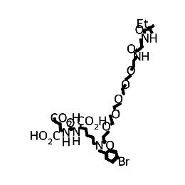 CCC(C)(C)C(=O)NCCC(=O)NCCOCCOCCOCCOCCOCCC(=O)N(CCCC[C@@H](NC(=O)N[C@@H](CCC(=O)O)C(=O)O)C(=O)O)Cc1ccc(Br)cc1